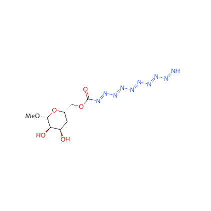 CO[C@@H]1O[C@H](COC(=O)N=NN=NN=NN=NN=N)C[C@@H](O)[C@H]1O